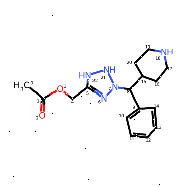 CC(=O)OCC1=NN(C(c2ccccc2)C2CCNCC2)NN1